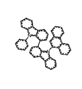 c1ccc(-n2c3ccccc3c3cccc(-c4cccc5c6ccccc6n(-c6cc7ccccc7c7ccccc67)c45)c32)cc1